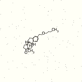 CCCCOCCc1ccc2c(c1)CC[C@@H]1[C@@H]2CC[C@]2(C)C(=O)CC[C@@H]12